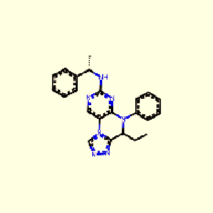 CCC1c2nncn2-c2cnc(N[C@@H](C)c3ccccc3)nc2N1c1ccccc1